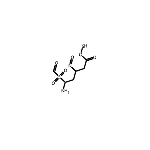 NC(CC(CC(=O)OS)N=O)S(=O)(=O)C=O